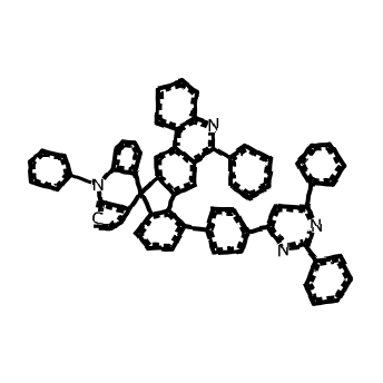 c1ccc(-c2cc(-c3ccc(-c4cccc5c4-c4cc6c(-c7ccccc7)nc7ccccc7c6cc4C54c5ccccc5N(c5ccccc5)c5ccccc54)cc3)nc(-c3ccccc3)n2)cc1